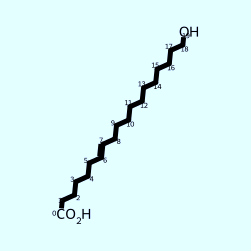 O=C(O)CCCCCC=CCCCCCCCCCCCO